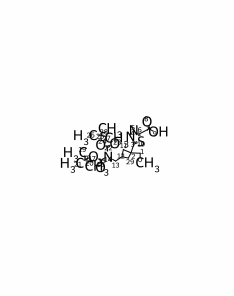 CCC1(c2nnc(C(=O)O)s2)CC(CN(C(=O)OC(C)(C)C)C(=O)OC(C)(C)C)C1